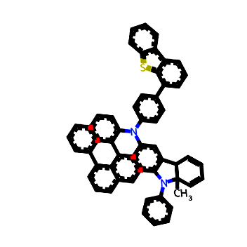 CC12C=CC=CC1c1cc(N(c3ccc(-c4cccc5c4sc4ccccc45)cc3)c3ccccc3-c3cccc4cccc(-c5ccccc5)c34)ccc1N2c1ccccc1